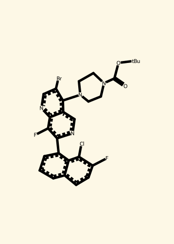 CC(C)(C)OC(=O)N1CCN(c2c(Br)cnc3c(F)c(-c4cccc5ccc(F)c(Cl)c45)ncc23)CC1